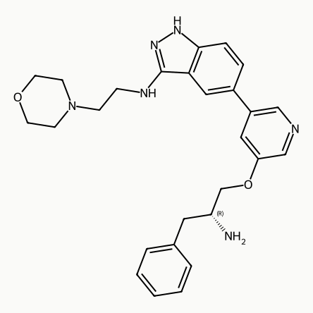 N[C@@H](COc1cncc(-c2ccc3[nH]nc(NCCN4CCOCC4)c3c2)c1)Cc1ccccc1